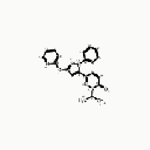 CC(C)n1nc(-c2cc(Oc3ccccn3)nn2-c2ccccc2)ccc1=O